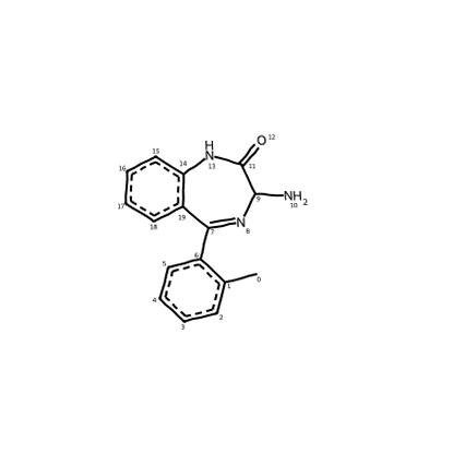 Cc1ccccc1C1=NC(N)C(=O)Nc2ccccc21